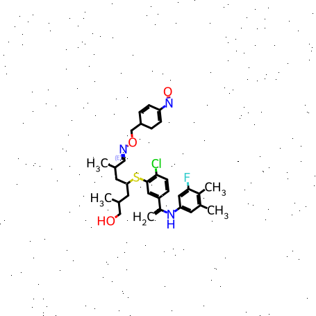 C=C(Nc1cc(C)c(C)c(F)c1)c1ccc(Cl)c(SC(CC(C)/C=N/OCC2C=CC(N=O)=CC2)CC(C)CO)c1